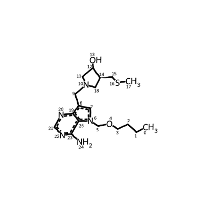 CCCCOCn1cc(CN2CC(O)[C@@H](CSC)C2)c2ncnc(N)c21